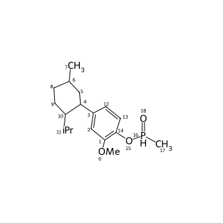 COc1cc(C2CC(C)CCC2C(C)C)ccc1O[PH](C)=O